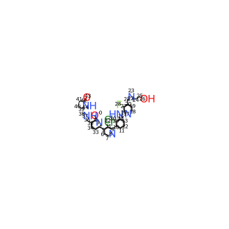 COc1nc(-c2ccnc(-c3cccc(Nc4nccc(CN(C)CCO)c4F)c3Cl)c2Cl)ccc1CNC[C@@H]1CCC(=O)N1